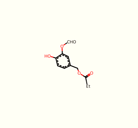 CCC(=O)OCc1ccc(O)c(OC=O)c1